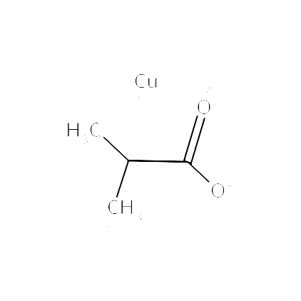 CC(C)C(=O)[O-].[Cu+]